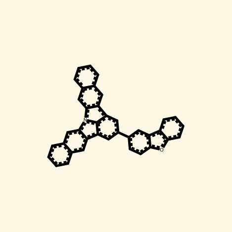 c1ccc2cc3c(cc2c1)c1cc(-c2ccc4oc5ccccc5c4c2)cc2c4cc5ccccc5cc4n3c12